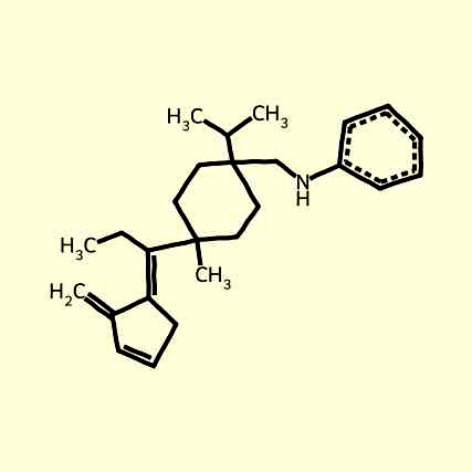 C=C1C=CC/C1=C(/CC)C1(C)CCC(CNc2ccccc2)(C(C)C)CC1